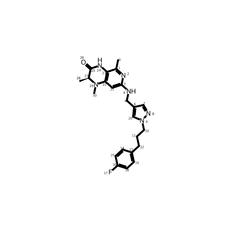 Cc1nc(NCc2cnn(CCCc3ccc(F)cc3)c2)cc2c1NC(=O)[C@H](C)N2C